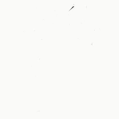 CCCCCCCCCCCCCCCCCCc1ccccc1CO[C@@H](CO)COP(=O)(O)O